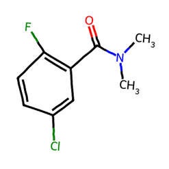 CN(C)C(=O)c1cc(Cl)ccc1F